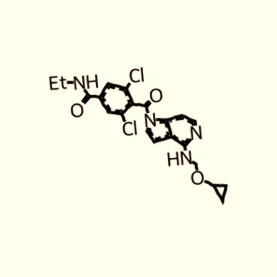 CCNC(=O)c1cc(Cl)c(C(=O)n2ccc3c(NCOC4CC4)nccc32)c(Cl)c1